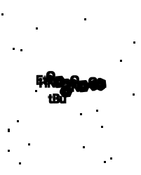 CCC(=O)Nc1ccc(CC(C(=O)Nc2ccc(-c3cc4ccccc4o3)cc2)c2ccc(C(C)(C)C)cc2)cc1